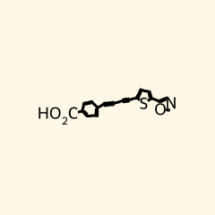 O=C(O)c1ccc(C#CC#Cc2ccc(-c3cnco3)s2)cc1